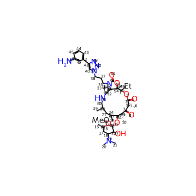 CC[C@H]1OC(=O)[C@H](C)C(=O)[C@H](C)[C@@H](O[C@@H]2O[C@H](C)CC(N(C)C)C2O)[C@](C)(OC)C[C@@H](C)CN[C@H](C)[C@H]2N(CCCn3cc(-c4cccc(N)c4)nn3)C(=O)O[C@]12C